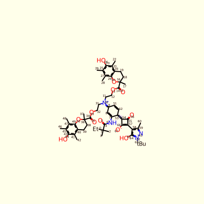 CCC(C)(C)C(=O)NC1=CC(=[N+](CCOC(=O)C2(C)CCc3c(C)c(O)c(C)c(C)c3O2)CCOC(=O)C2(C)CCc3c(C)c(O)c(C)c(C)c3O2)C=C/C1=C1\C(=O)C(c2c(C)nn(C(C)(C)C)c2O)=C1[O-]